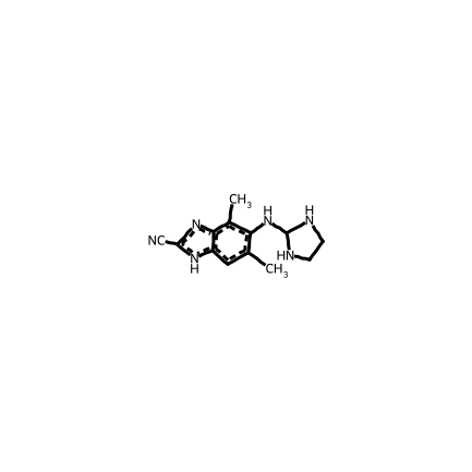 Cc1cc2[nH]c(C#N)nc2c(C)c1NC1NCCN1